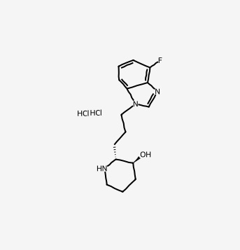 Cl.Cl.O[C@H]1CCCN[C@@H]1CCCn1cnc2c(F)cccc21